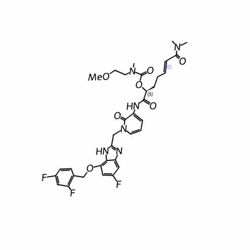 COCCN(C)C(=O)O[C@@H](CC/C=C/C(=O)N(C)C)C(=O)Nc1cccn(Cc2nc3cc(F)cc(OCc4ccc(F)cc4F)c3[nH]2)c1=O